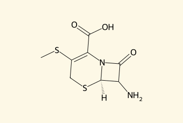 CSC1=C(C(=O)O)N2C(=O)C(N)[C@H]2SC1